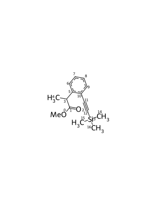 COC(=O)C(C)c1ccccc1C#C[Si](C)(C)C